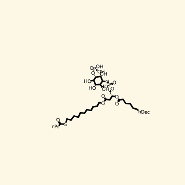 CCCCCCCCCCCCCCCC(=O)O[C@@H](COP(=O)(O)OC1C(O)[C@H](O)C(O)[C@H](OP(=O)(O)O)[C@@H]1O)CC(=O)OCCCCCCCCCCCSC(=O)CCC